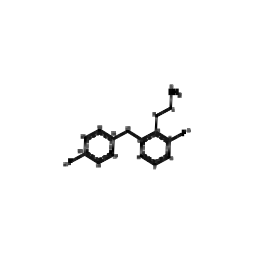 NCCc1c(F)cccc1Cc1ccc(F)cc1